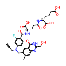 C#CCN(Cc1cc2c(=O)[nH]c(CO)nc2cc1C)c1ccc(C(=O)N[C@@H](CCC(=O)N[C@H](CCCC(=O)O)C(=O)O)C(=O)O)c(F)c1